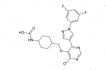 O=C(O)NC1CCC(COc2c(Cl)ncnc2-c2cnn(-c3cc(F)cc(F)c3)c2)CC1